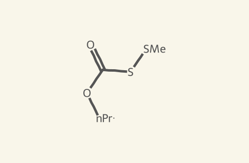 CC[CH]OC(=O)SSC